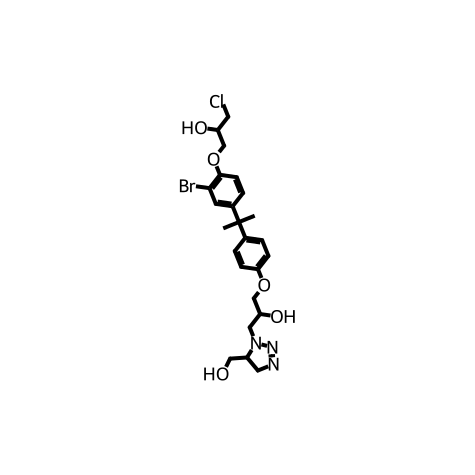 CC(C)(c1ccc(OCC(O)CN2N=NCC2CO)cc1)c1ccc(OCC(O)CCl)c(Br)c1